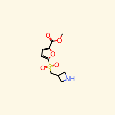 COC(=O)c1ccc(S(=O)(=O)CC2CNC2)o1